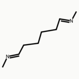 CN=CCCCCC=NC